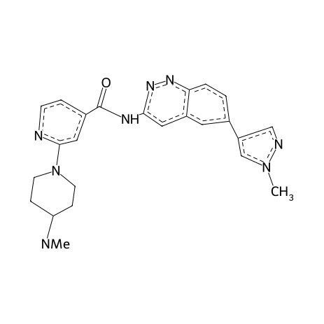 CNC1CCN(c2cc(C(=O)Nc3cc4cc(-c5cnn(C)c5)ccc4nn3)ccn2)CC1